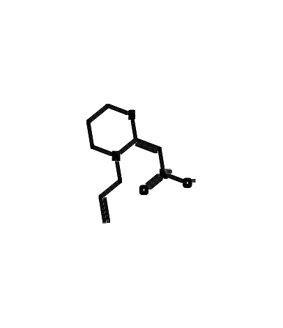 C=CCN1CCCSC1=C[N+](=O)[O-]